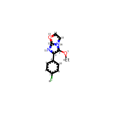 CCOc1c(-c2ccc(F)cc2)nc2occn12